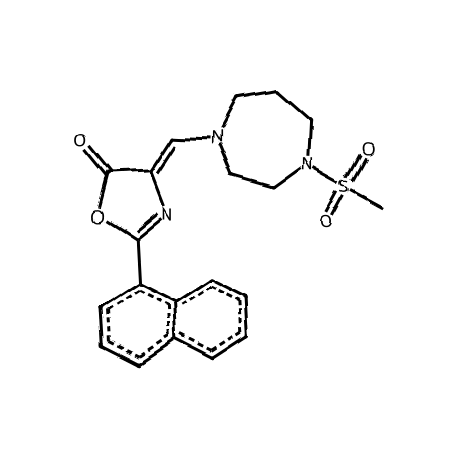 CS(=O)(=O)N1CCCN(/C=C2\N=C(c3cccc4ccccc34)OC2=O)CC1